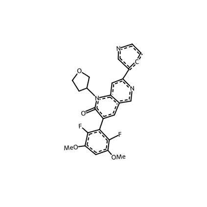 COc1cc(OC)c(F)c(-c2cc3cnc(-c4cccnc4)cc3n(C3CCOC3)c2=O)c1F